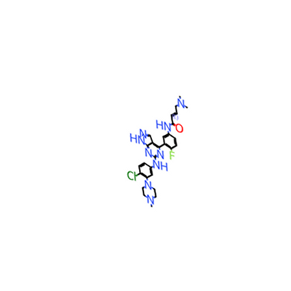 CN(C)C/C=C/C(=O)Nc1ccc(F)c(-c2nc(Nc3ccc(Cl)c(N4CCN(C)CC4)c3)nc3[nH]ncc23)c1